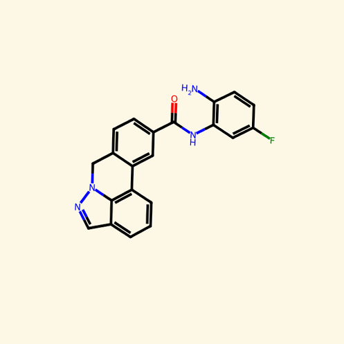 Nc1ccc(F)cc1NC(=O)c1ccc2c(c1)-c1cccc3cnn(c13)C2